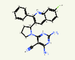 N#Cc1c(N)nc(N)nc1N1CCCC1c1cc2ccc(F)cc2nc1-c1ccccc1